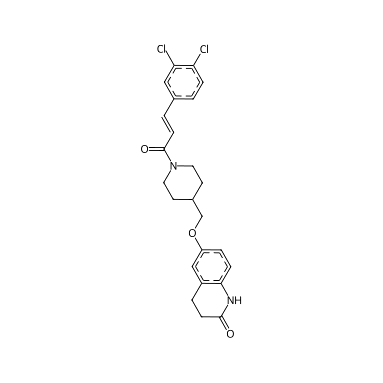 O=C1CCc2cc(OCC3CCN(C(=O)C=Cc4ccc(Cl)c(Cl)c4)CC3)ccc2N1